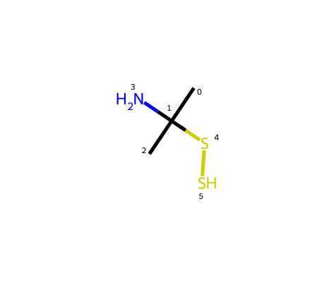 CC(C)(N)SS